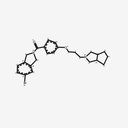 O=C(c1ccc(OCCCN2CC3CCCC3C2)cc1)N1Cc2ccc(Br)cc2C1